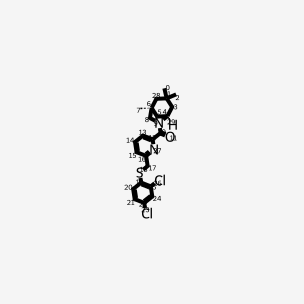 CC1(C)C[C@@H]2C[C@@](C)(CN2C(=O)c2cccc(CSc3ccc(Cl)cc3Cl)n2)C1